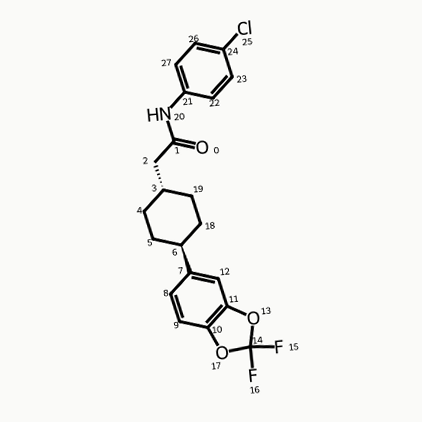 O=C(C[C@H]1CC[C@H](c2ccc3c(c2)OC(F)(F)O3)CC1)Nc1ccc(Cl)cc1